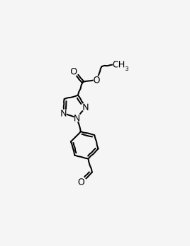 CCOC(=O)c1cnn(-c2ccc(C=O)cc2)n1